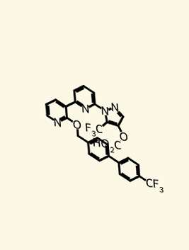 O=C(O)Oc1cnn(-c2cccc(-c3cccnc3OCc3ccc(-c4ccc(C(F)(F)F)cc4)cc3)n2)c1C(F)(F)F